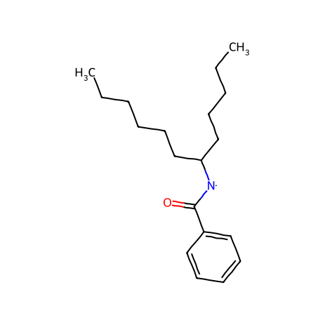 CCCCCCC(CCCCC)[N]C(=O)c1ccccc1